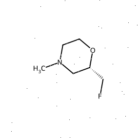 CN1CCO[C@H](CF)C1